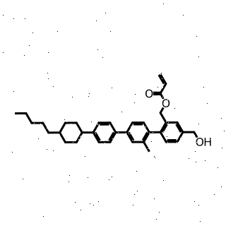 C=CC(=O)OCc1cc(CO)ccc1-c1ccc(-c2ccc(C3CCC(CCCCC)CC3)cc2)cc1C